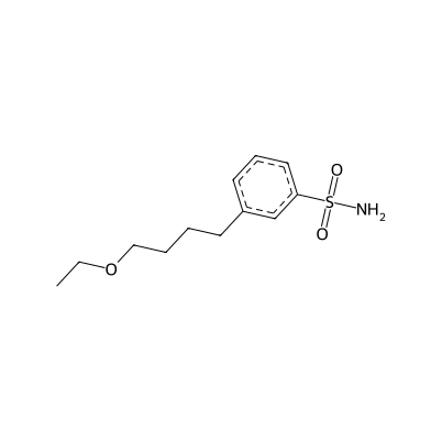 CCOCCCCc1cccc(S(N)(=O)=O)c1